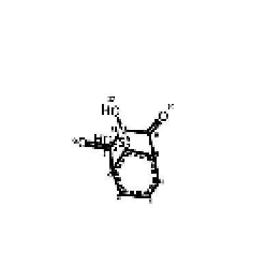 O=C1c2cccc(c2S(=O)(=O)O)C(=O)N1O